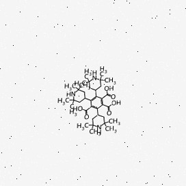 CC1(C)CC(c2c(C(=O)O)c(C(=O)O)c(C3CC(C)(C)NC(C)(C)C3)c(C3CC(C)(C)NC(C)(C)C3)c2C(=O)O)CC(C)(C)N1